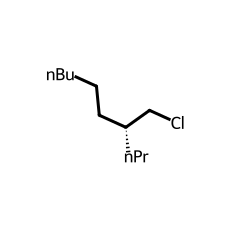 CCCCCC[C@H](CCl)CCC